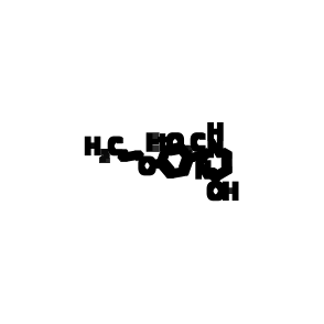 C=CCOc1ccc(C2(C(=O)OCC)N=C(O)C=CN2)cc1